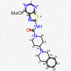 COc1ncnc2sc(NC(=O)N3CCC(N4CCc5ccccc5C4)CC3)nc12